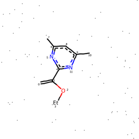 C=C(OCC)c1nc(C)cc(C)n1